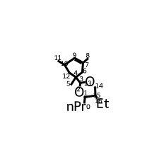 CCCC1OC(C2(C)CC(C)=CC(C)C2)OCC1CC